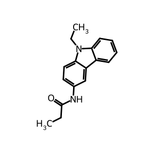 CCC(=O)Nc1ccc2c(c1)c1ccccc1n2CC